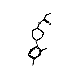 CCC(=O)OC1CCN(c2ccc(F)cc2C)CC1